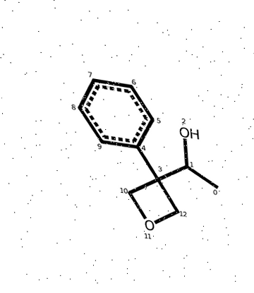 CC(O)C1(c2ccccc2)COC1